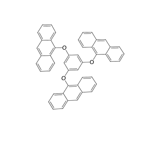 c1ccc2c(Oc3cc(Oc4c5ccccc5cc5ccccc45)cc(Oc4c5ccccc5cc5ccccc45)c3)c3ccccc3cc2c1